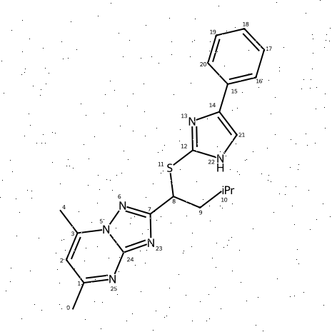 Cc1cc(C)n2nc(C(CC(C)C)Sc3nc(-c4ccccc4)c[nH]3)nc2n1